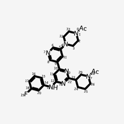 CC(=O)N1CCN(c2cncc(-c3cc(Nc4cccc(F)c4)nc(C4CCCN(C(C)=O)C4)n3)c2)CC1